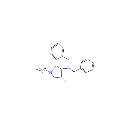 O=C(O)N1C[C@@H](F)[C@H](N(Cc2ccccc2)Cc2ccccc2)C1